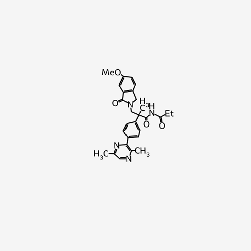 CCC(=O)NC(=O)[C@@](C)(CN1Cc2ccc(OC)cc2C1=O)c1ccc(-c2nc(C)cnc2C)cc1